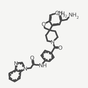 C=C(/C=C1\C(=C/C)OCC12CCN(C(=O)c1ccc(NC(=O)Cn3cnc4ccccc43)cc1)CC2)CN